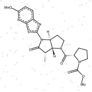 COc1ccc2nc(N3C(=O)[C@@H](C)[C@@H]4[C@@H]3CCN4C(=O)[C@@H]3CCCN3C(=O)OC(C)(C)C)sc2n1